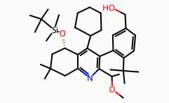 COC(C)c1nc2c(c(C3CCCCC3)c1-c1cc(CO)ccc1C(C)(C)C)[C@@H](O[Si](C)(C)C(C)(C)C)CC(C)(C)C2